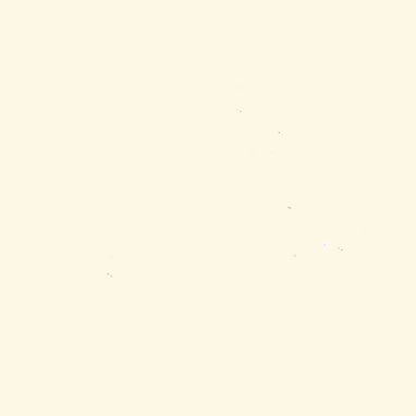 CO/N=C1\C[C@@H](CCC(=O)Nc2ncc(C)s2)C2C3CCc4cc(OC(=O)CN(C)C(=O)OC(C)(C)C)c(C(C)(C)C)cc4C3CC[C@]12C